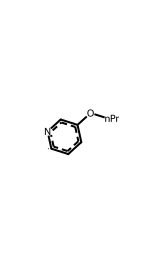 CCCOc1cc[c]nc1